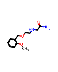 COc1ccccc1COCCNCC(N)=O